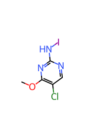 COc1nc(NI)ncc1Cl